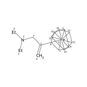 C=C(CN(CC)CC)[C]12[CH]3[CH]4[CH]5[CH]1[Fe]45321678[CH]2[CH]1[CH]6[CH]7[CH]28